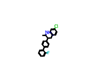 CC(N)C(Cc1ccc(Cl)cc1)c1ccc(-c2ccccc2F)cc1